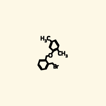 Cc1ccc(C)c(OCc2ccccc2CBr)c1